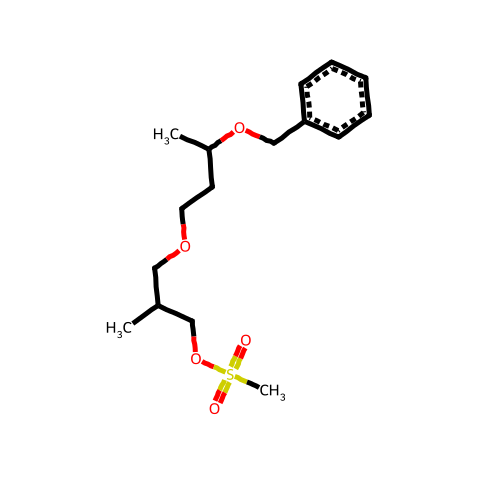 CC(COCCC(C)OCc1ccccc1)COS(C)(=O)=O